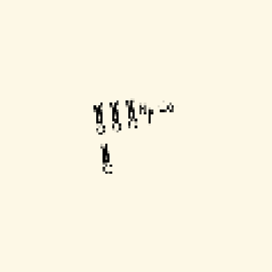 [C]=O.[C]=O.[C]=O.[C]=O.[Co].[NaH]